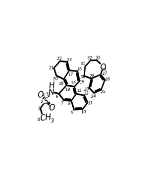 CCS(=O)(=O)NC1C=c2ccccc2=c2ccc3c(c21)CCCC=3.c1ccc2c(c1)CCCCO2